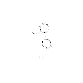 C=Cc1ccccc1-c1ccc(CC(C)C)cc1